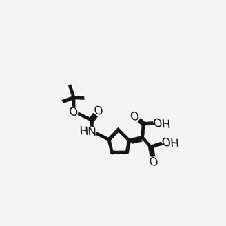 CC(C)(C)OC(=O)NC1CCC(=C(C(=O)O)C(=O)O)C1